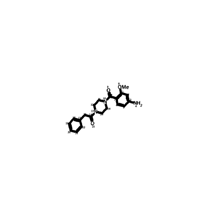 COc1cc(N)ccc1C(=O)N1CCN(C(=O)Cc2ccccc2)CC1